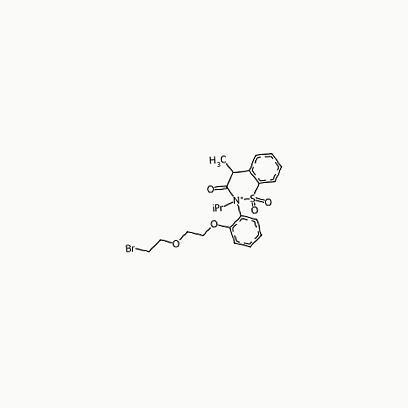 CC1C(=O)[N+](c2ccccc2OCCOCCBr)(C(C)C)S(=O)(=O)c2ccccc21